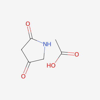 CC(=O)O.O=C1CNC(=O)C1